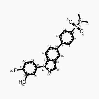 CN(C)S(=O)(=O)c1ccc(-c2ccc3c(cnn3-c3ccc(F)c(O)c3)c2)cc1